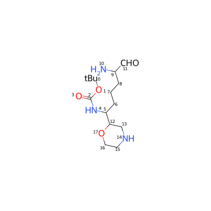 CC(C)(C)OC(=O)NC(CCCC(N)C=O)C1CNCCO1